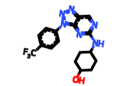 OC1CCC(Nc2ncc3nnn(-c4ccc(C(F)(F)F)cc4)c3n2)CC1